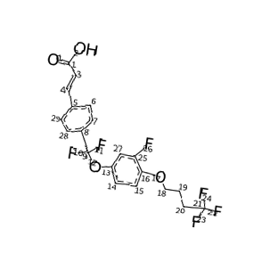 O=C(O)C=Cc1ccc(C(F)(F)Oc2ccc(OCCCC(F)(F)F)c(F)c2)cc1